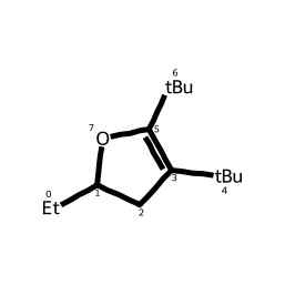 CCC1CC(C(C)(C)C)=C(C(C)(C)C)O1